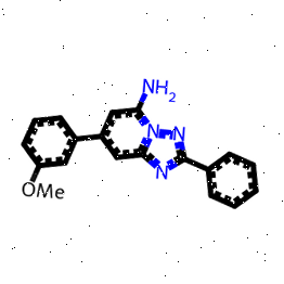 COc1cccc(-c2cc(N)n3nc(-c4ccccc4)nc3c2)c1